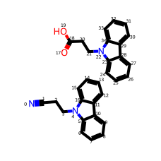 N#CCCn1c2ccccc2c2ccccc21.O=C(O)CCn1c2ccccc2c2ccccc21